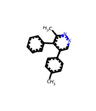 Cc1ccc(-c2cnnc(C)c2-c2ccccc2)cc1